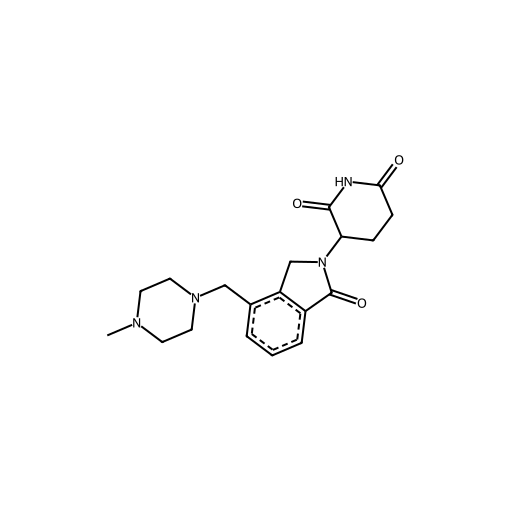 CN1CCN(Cc2cccc3c2CN(C2CCC(=O)NC2=O)C3=O)CC1